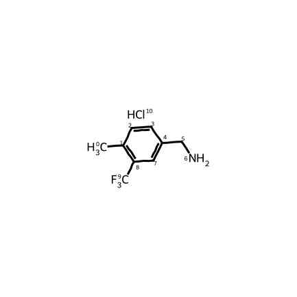 Cc1ccc(CN)cc1C(F)(F)F.Cl